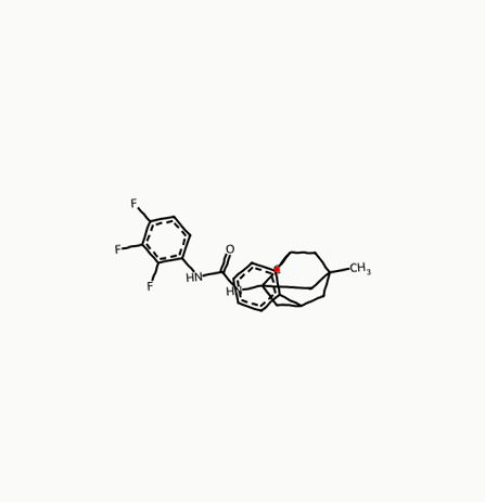 CC12CC3CC(NC(=O)Nc4ccc(F)c(F)c4F)(CC(C1)c1ccccc13)C2